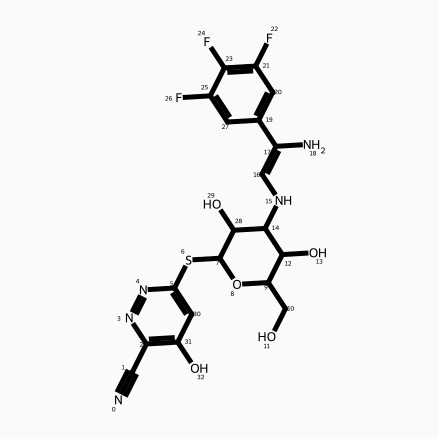 N#Cc1nnc(SC2OC(CO)C(O)C(N/C=C(\N)c3cc(F)c(F)c(F)c3)C2O)cc1O